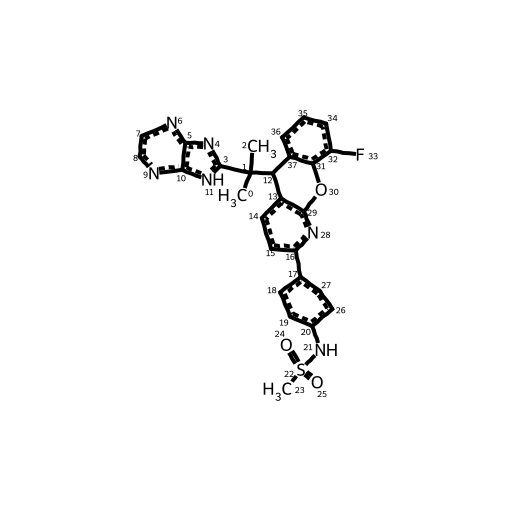 CC(C)(c1nc2nccnc2[nH]1)C1c2ccc(-c3ccc(NS(C)(=O)=O)cc3)nc2Oc2c(F)cccc21